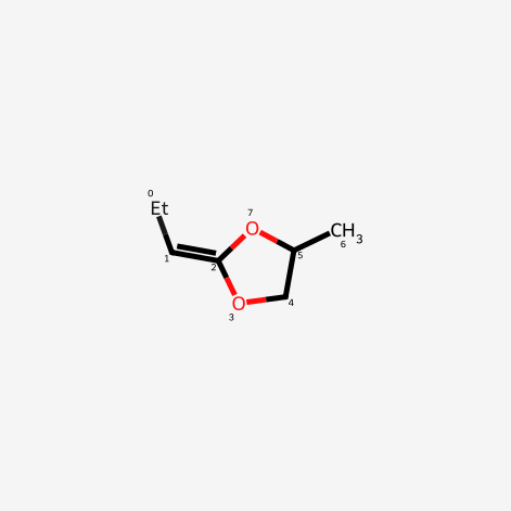 CCC=C1OCC(C)O1